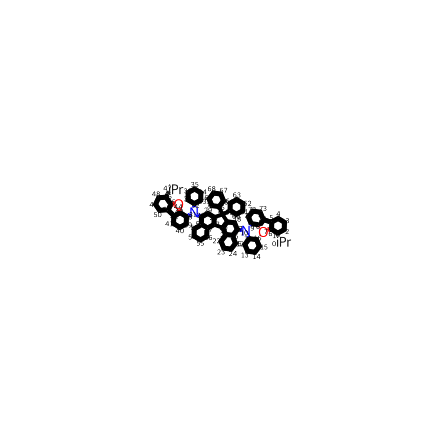 CC(C)c1cccc2c1oc1c(N(c3ccccc3)c3cc4c(c5ccccc35)-c3c(cc(N(c5ccccc5)c5cccc6c5oc5c(C(C)C)cccc56)c5ccccc35)C4(c3ccccc3)c3ccccc3)cccc12